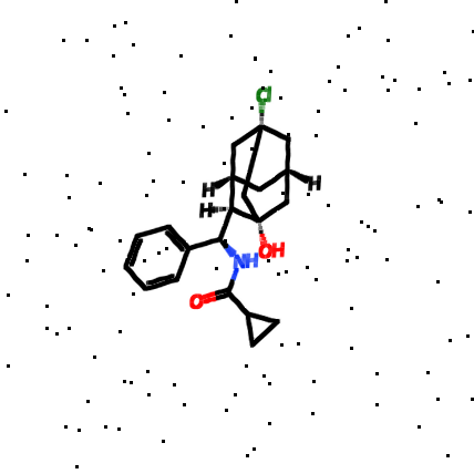 O=C(N[C@@H](c1ccccc1)[C@H]1[C@H]2C[C@@H]3C[C@](Cl)(C2)C[C@@]1(O)C3)C1CC1